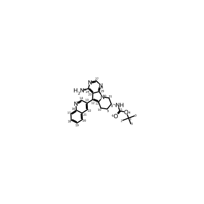 CC(C)(C)OC(=O)N[C@@H]1CCc2c(-c3cnc4ccccc4c3)c3c(N)ncnc3n2C1